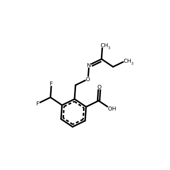 CCC(C)=NOCc1c(C(=O)O)cccc1C(F)F